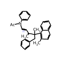 C=C(/C=C/N(C(C)=O)c1ccccc1)C(C)(Cc1ccccc1)c1c(C)ccc2ccccc12